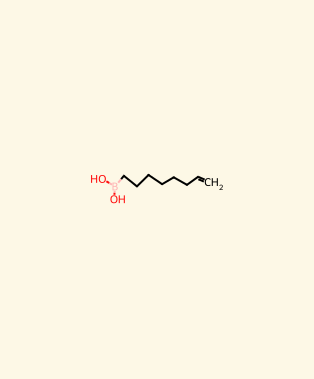 C=CCCCCCCB(O)O